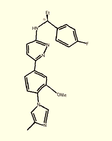 CC[C@H](Nc1ccc(-c2ccc(-n3cnc(C)c3)c(OC)c2)nn1)c1ccc(F)cc1